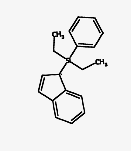 CC[Si](CC)([C]1C=Cc2ccccc21)c1ccccc1